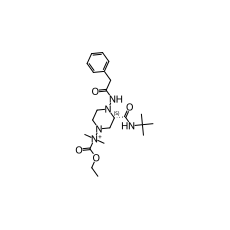 CCOC(=O)[N+](C)(C)N1CCN(NC(=O)Cc2ccccc2)[C@H](C(=O)NC(C)(C)C)C1